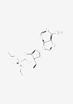 C=C[C@]1(OCP(=O)(OCC)OCC)C[C@@H](n2cnc3c(N)ncnc32)C=C1F